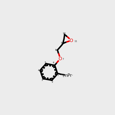 CC[CH]c1ccccc1OCC1CO1